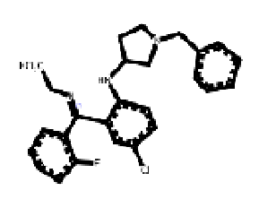 O=C(O)C/N=C(\c1ccccc1F)c1cc(Cl)ccc1NC1CCN(Cc2ccccc2)C1